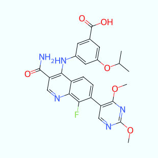 COc1ncc(-c2ccc3c(Nc4cc(OC(C)C)cc(C(=O)O)c4)c(C(N)=O)cnc3c2F)c(OC)n1